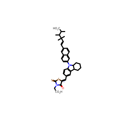 CC(C(=O)O)C(C)C(C)(C)C=Cc1ccc2cc(N3c4ccc(/C=C5\SC(=S)N(CC(=O)O)C5=O)cc4C4CCCCC43)ccc2c1